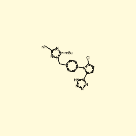 CCCCc1nc(CCC)nn1Cc1ccc(-n2c(Cl)ccc2-c2nnn[nH]2)cc1